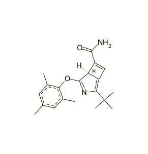 Cc1cc(C)c(OC2=NC(C(C)(C)C)=C3C=C(C(N)=O)[C@H]23)c(C)c1